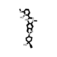 C#CC1(O)CCC(n2cc3cc(NC(=O)c4cccc(OC)[n+]4O)c(OC)cc3n2)CC1